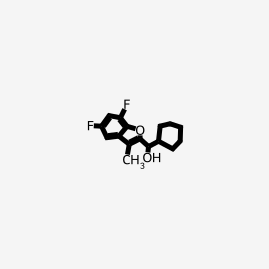 Cc1c(C(O)C2CCCCC2)oc2c(F)cc(F)cc12